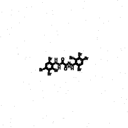 O=C(NNc1c(Br)cc(Br)c(Br)c1Br)C(=O)NNc1c(Br)cc(Br)c(Br)c1Br